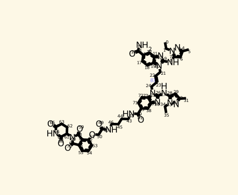 CCn1nc(C)cc1Nc1nc2cc(C(N)=O)ccc2n1C/C=C/Cn1c(Nc2cc(C)nn2CC)nc2cc(C(=O)NCCCCNC(=O)COc3cccc4c3C(=O)N(C3CCC(=O)NC3=O)C4=O)ccc21